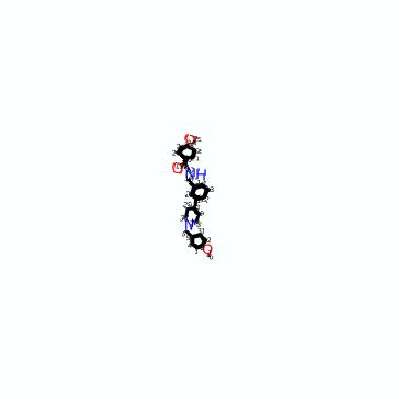 COc1ccc(CN2CC=C(c3cccc(CNC(=O)c4ccc(OC)cc4)c3)CC2)cc1